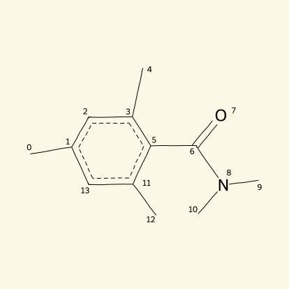 Cc1cc(C)c(C(=O)N(C)C)c(C)c1